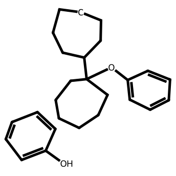 Oc1ccccc1.c1ccc(OC2(C3CCCCCC3)CCCCCC2)cc1